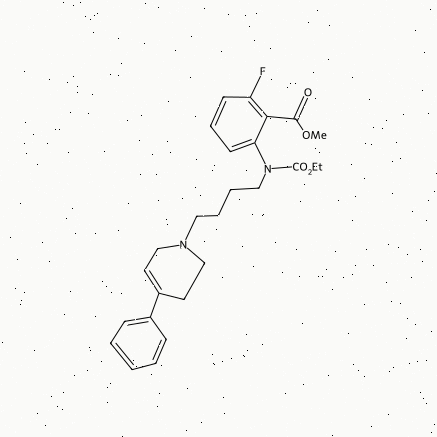 CCOC(=O)N(CCCCN1CC=C(c2ccccc2)CC1)c1cccc(F)c1C(=O)OC